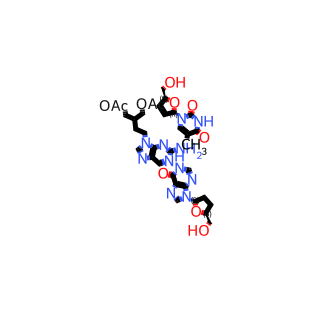 CC(=O)OCC(CCn1cnc2cnc(N)nc21)COC(C)=O.Cc1cn([C@H]2C=C[C@@H](CO)O2)c(=O)[nH]c1=O.O=c1[nH]cnc2c1ncn2[C@H]1CC[C@@H](CO)O1